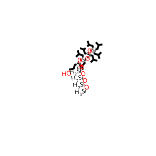 CC(C)C[Si](CC(C)C)(CC(C)C)O[Si](CC(C)C)(CC(C)C)O[Si](CC(C)C)(CC(C)C)O[SiH](CCCO)O[SiH2]O[SiH2]O[SiH2]O[SiH3]